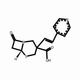 O=C1C[C@H]2SCC(C=Cc3ccncc3)(C(=O)O)CN12